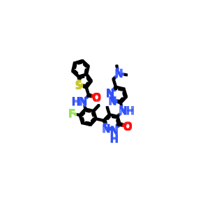 Cc1c(-c2n[nH]c(=O)c(Nc3ccc(CN(C)C)nn3)c2C)ccc(F)c1NC(=O)c1cc2ccccc2s1